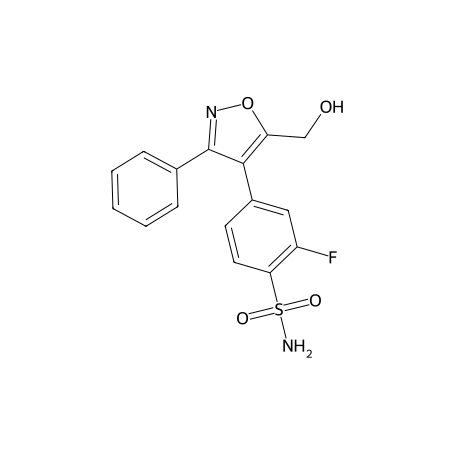 NS(=O)(=O)c1ccc(-c2c(-c3ccccc3)noc2CO)cc1F